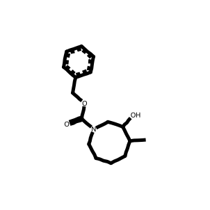 CC1CCCCN(C(=O)OCc2ccccc2)CC1O